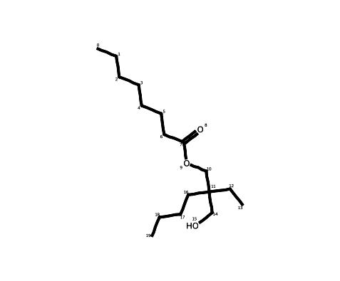 CCCCCCCC(=O)OCC(CC)(CO)CCCC